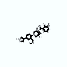 C/N=C\c1cc(-c2cn[nH]c2)ccc1N1C[C@@H]2C[C@@H](C1)N(C(=O)c1cccc(F)c1F)C2